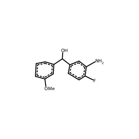 COc1cccc(C(O)c2ccc(F)c(N)c2)c1